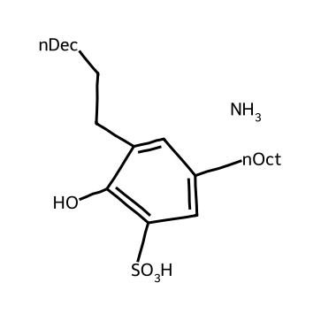 CCCCCCCCCCCCc1cc(CCCCCCCC)cc(S(=O)(=O)O)c1O.N